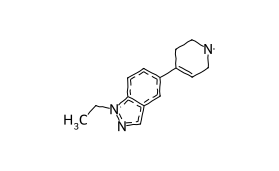 CCn1ncc2cc(C3=CC[N]CC3)ccc21